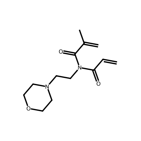 C=CC(=O)N(CCN1CCOCC1)C(=O)C(=C)C